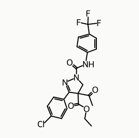 CCOC(=O)C1(C(C)=O)CN(C(=O)Nc2ccc(C(F)(F)F)cc2)N=C1c1ccc(Cl)cc1